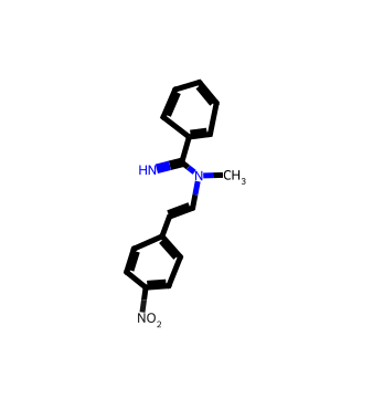 CN(C=Cc1ccc([N+](=O)[O-])cc1)C(=N)c1ccccc1